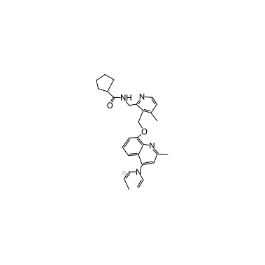 C=CN(/C=C\C)c1cc(C)nc2c(OCc3c(C)ccnc3CNC(=O)C3CCCC3)cccc12